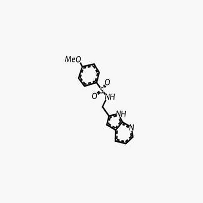 COc1ccc(S(=O)(=O)NCc2cc3cccnc3[nH]2)cc1